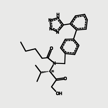 CCCCC(=O)N(Cc1ccc(-c2ccccc2-c2nnn[nH]2)cc1)[C@H](C(=O)CO)C(C)C